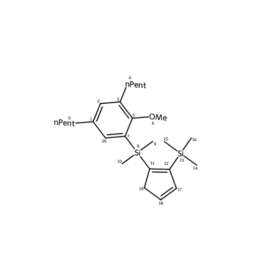 CCCCCc1cc(CCCCC)c(OC)c([Si](C)(C)C2=C([Si](C)(C)C)C=CC2)c1